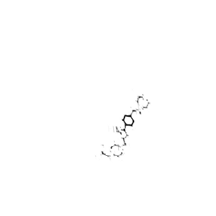 C[C@@H]1CN(N=Cc2ccc(C3CC(CN4CCN(CC(=O)O)CC4)ON3)cc2)C[C@H](C)N1